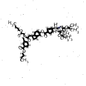 CCCCOC(=O)CN(Cc1cccc(C(=O)OCCCC)c1)C(=O)CC1CCc2cc(OC(=O)c3ccc(N/C(=N/C(=O)OC(C)(C)C)NC(=O)OC(C)(C)C)cc3)ccc21